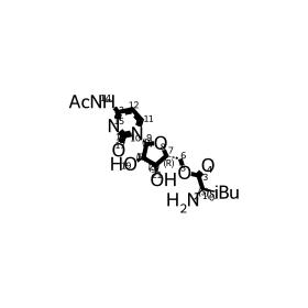 CC[C@H](C)[C@H](N)C(=O)OC[C@H]1O[C@@H](n2ccc(NC(C)=O)nc2=O)[C@H](O)[C@@H]1O